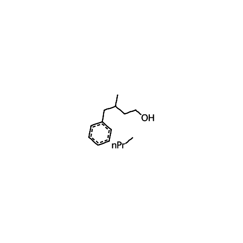 CC(CCO)Cc1ccccc1.CCCC